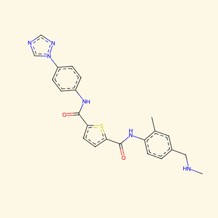 CNCc1ccc(NC(=O)c2ccc(C(=O)Nc3ccc(-n4cncn4)cc3)s2)c(C)c1